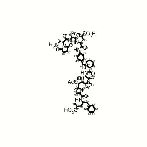 CC[C@H](C)[C@H](NC(=O)[C@H]1CCCC[N+]1(C)Cc1ccc(NC(=O)[C@H](CCC(=O)O)NC(=O)[C@@H](NC(=O)[C@H](CN)N2C(=O)C=CC2=O)C(C)C)cc1)C(=O)N(C)[C@H](C[C@@H](OC(C)=O)c1nc(C(=O)N[C@@H](Cc2ccccc2)C[C@H](C)C(=O)O)cs1)C(C)C